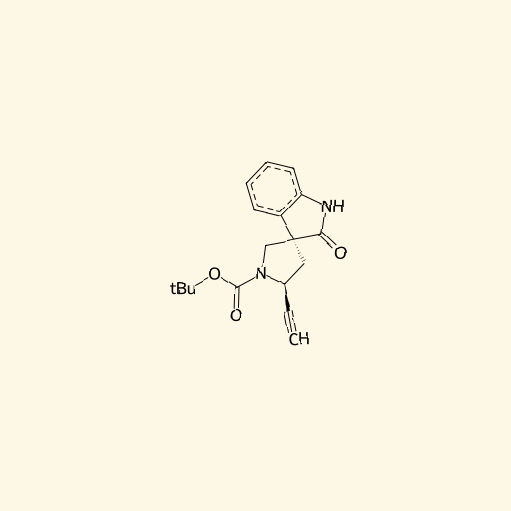 C#C[C@@H]1C[C@@]2(CN1C(=O)OC(C)(C)C)C(=O)Nc1ccccc12